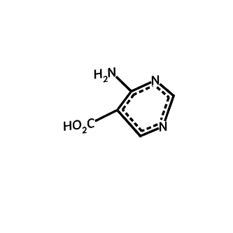 Nc1ncncc1C(=O)O